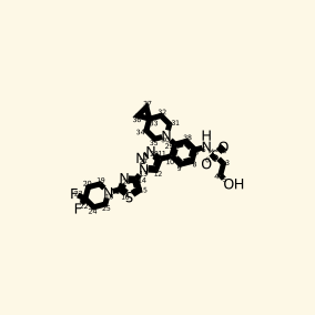 O=S(=O)(CCO)Nc1ccc(-c2cn(-c3csc(N4CCC(F)(F)CC4)n3)nn2)c(N2CCC3(CC2)CC3)c1